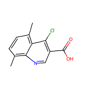 Cc1ccc(C)c2c(Cl)c(C(=O)O)cnc12